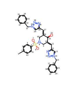 Cc1ccc(S(=O)(=O)N2CC(=Cc3cn(Cc4ccccc4)nn3)C(=O)C(=Cc3cn(Cc4ccccc4)nn3)C2)cc1